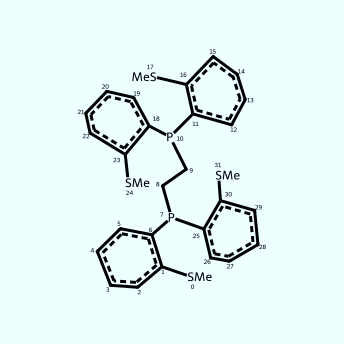 CSc1ccccc1P(CCP(c1ccccc1SC)c1ccccc1SC)c1ccccc1SC